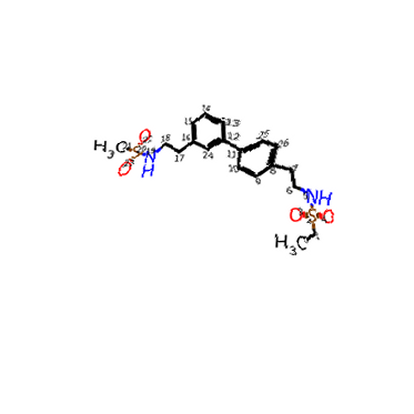 CCS(=O)(=O)NCCc1ccc(-c2[c]ccc(CCNS(C)(=O)=O)c2)cc1